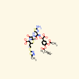 CC(=O)Oc1ccc([C@@H](O/N=C(\C(=O)N[C@@H]2C(=O)N3C(C(=O)[O-])=C(/C=C/Sc4nnc(C)s4)CS[C@@H]23)c2csc(N)n2)C(=O)[O-])cc1OC(C)=O.[Na+].[Na+]